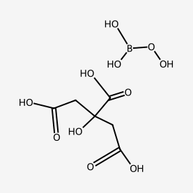 O=C(O)CC(O)(CC(=O)O)C(=O)O.OOB(O)O